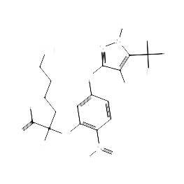 CCCCCC(C)(Oc1cc(Oc2nn(C)c(C(F)(F)F)c2Cl)ccc1[N+](=O)[O-])C(=O)O